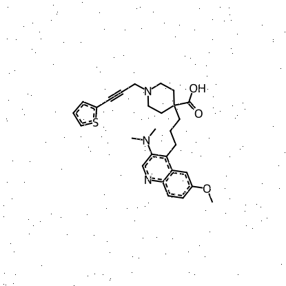 COc1ccc2ncc(N(C)C)c(CCCC3(C(=O)O)CCN(CC#Cc4cccs4)CC3)c2c1